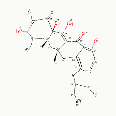 CC(=O)C1=C(O)C(C(C)C)[C@@]2(C)C[C@@]3(C)Cc4c(CC(CC(C)C)CC(C)C)ccc(O)c4C(=O)C3=C(O)[C@@]2(O)C1=O